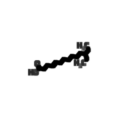 CCC(CC)CCCCCCC=CCCC(=O)O